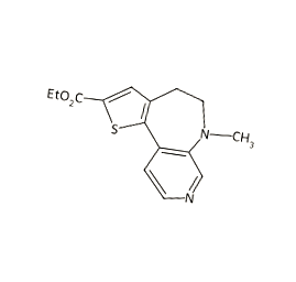 CCOC(=O)c1cc2c(s1)-c1ccncc1N(C)CC2